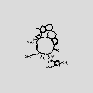 COc1nn(C)cc1C(=O)N[S@@]1(=O)=NC(=O)c2ccc3c(c2)N(C[C@@H]2CC[C@H]2[C@@H](OC)/C=C/[C@H](OCC=O)[C@H](C)C1)C[C@@]1(CCCc2cc(Cl)ccc21)CO3